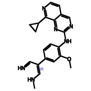 CN/C=C(\C=N)c1ccc(Nc2ncc3ccnc(C4CC4)c3n2)c(OC)c1